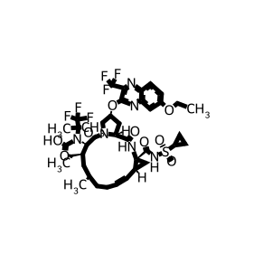 CCOc1ccc2nc(C(F)(F)F)c(O[C@@H]3C[C@H]4C(=O)N[C@]5(C(=O)NS(=O)(=O)C6CC6)C[C@H]5/C=C\CC[C@@H](C)C[C@@H](CC)[C@H](N(C(=O)O)C(C)(C)C(F)(F)F)C(=O)N4C3)nc2c1